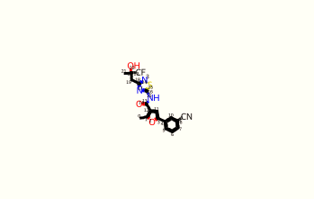 Cc1oc(-c2cccc(C#N)c2)cc1C(=O)Nc1nc(CC(C)(O)C(F)(F)F)ns1